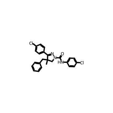 CC1(Cc2ccccc2)CN(C(=O)Nc2ccc(Cl)cc2)N=C1c1ccc(Cl)cc1